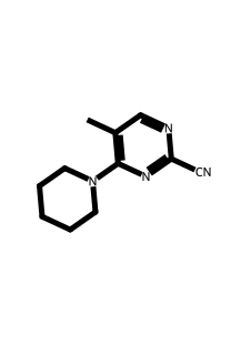 Cc1cnc(C#N)nc1N1CCCCC1